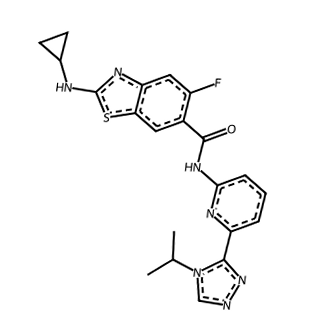 CC(C)n1cnnc1-c1cccc(NC(=O)c2cc3sc(NC4CC4)nc3cc2F)n1